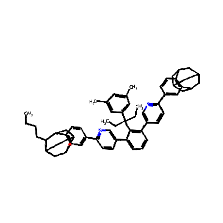 CCCCC1C2CC3CC(CC31)c1cc(-c3ccc(-c4cccc(-c5ccc(-c6ccc7c(c6)C6CC8CC7CC8C6)nc5)c4C(CC)(CC)c4cc(C)cc(C)c4)cn3)ccc12